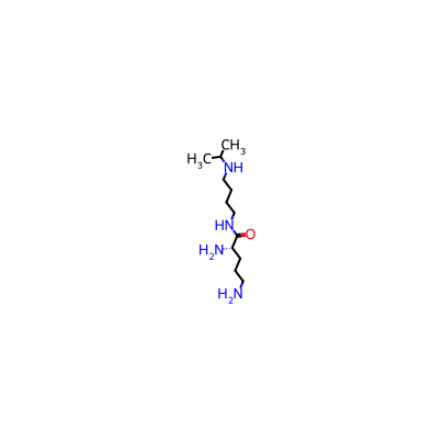 CC(C)NCCCCNC(=O)[C@@H](N)CCCN